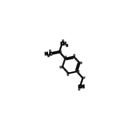 C=C(C)C1=CC=C(CO)CC1